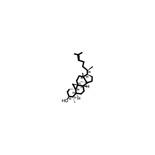 CC(C)=CCC[C@@H](C)[C@H]1CC[C@@]2(C)[C@@H]3CC[C@H]4[C@H](C)[C@@H](O)CC[C@@]45C[C@@]35CC[C@]12C